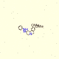 COc1cc2c(cc1OC)C1CC(=NNc3ccccc3)CCN1CC2